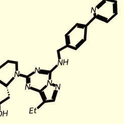 CCc1cnn2c(NCc3ccc(-c4ccccn4)cc3)nc(N3CCCC[C@H]3CCO)nc12